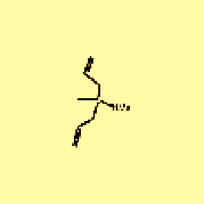 C=CCS(C)(CC=C)NC